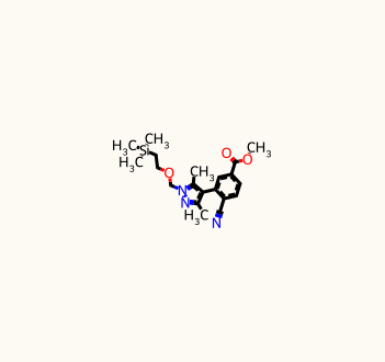 COC(=O)c1ccc(C#N)c(-c2c(C)nn(COCC[Si](C)(C)C)c2C)c1